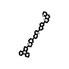 c1cnc2c(c1)ccc1ccc(-c3ccc4cc(-c5ccc6cc(-c7ccc8nc(-c9ccc%10c%11ccccc%11c%11ccccc%11c%10c9)ccc8c7)ccc6n5)ccc4c3)nc12